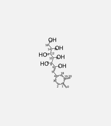 C=c1ccc(C=C(O)C(O)C(O)C(O)C(O)CO)cc1=C